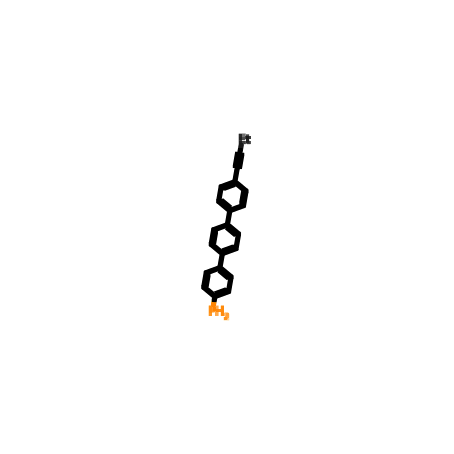 CCC#Cc1ccc(-c2ccc(-c3ccc(P)cc3)cc2)cc1